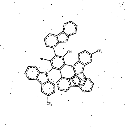 N#Cc1c(-c2cccc3c2sc2ccccc23)c(C#N)c(-n2c3ccccc3c3cc(C(F)(F)F)ccc32)c(-c2cccc3c2sc2ccccc23)c1-n1c2ccccc2c2cc(C(F)(F)F)ccc21